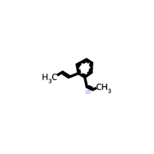 CC=Cc1ccccc1/C=C\C